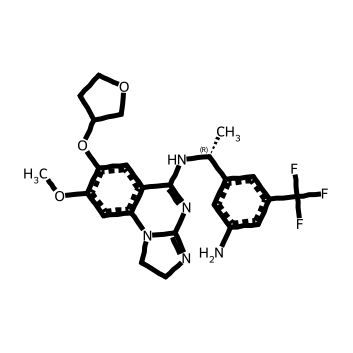 COc1cc2c(cc1OC1CCOC1)C(N[C@H](C)c1cc(N)cc(C(F)(F)F)c1)=NC1=NCCN12